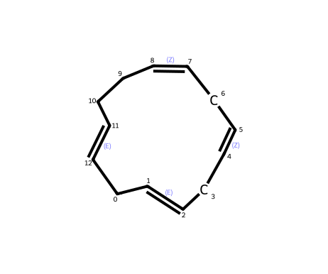 [CH]1/C=C/C/C=C\C/C=C\CC/C=C/1